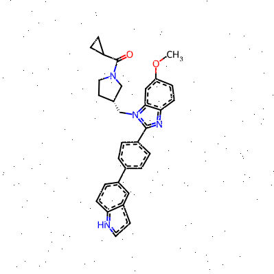 COc1ccc2nc(-c3ccc(-c4ccc5[nH]ccc5c4)cc3)n(C[C@@H]3CCN(C(=O)C4CC4)C3)c2c1